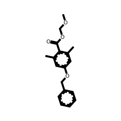 COCOC(=O)c1c(C)cc(OCc2ccccc2)cc1C